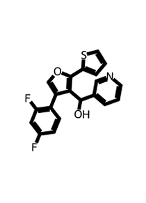 OC(c1cccnc1)c1c(-c2ccc(F)cc2F)coc1-c1cccs1